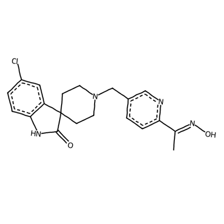 C/C(=N\O)c1ccc(CN2CCC3(CC2)C(=O)Nc2ccc(Cl)cc23)cn1